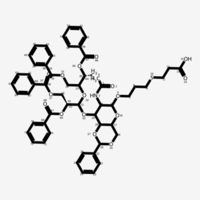 CC(=O)NC1C(OCCCSCCC(=O)O)OC2COC(c3ccccc3)OC2C1OC(OC(COC(=O)c1ccccc1)[C@@H](C)OC(=O)c1ccccc1)[C@H](COC(=O)c1ccccc1)OC(=O)c1ccccc1